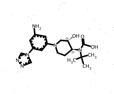 CC(C)(C)N(C(=O)O)[C@H]1CCN(c2cc(N)cc(-n3cnnc3)c2)C[C@@H]1O